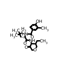 CCC1COCC(=O)C1NC(=O)[C@H](CC(C)(C)C)NC(=O)c1ccc(O)c(C)c1